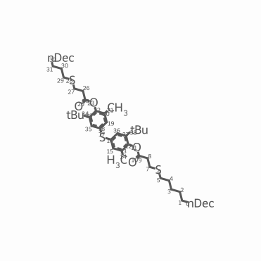 CCCCCCCCCCCCCCCSCCC(=O)Oc1c(C)cc(Sc2cc(C)c(OC(=O)CCSCCCCCCCCCCCCC)c(C(C)(C)C)c2)cc1C(C)(C)C